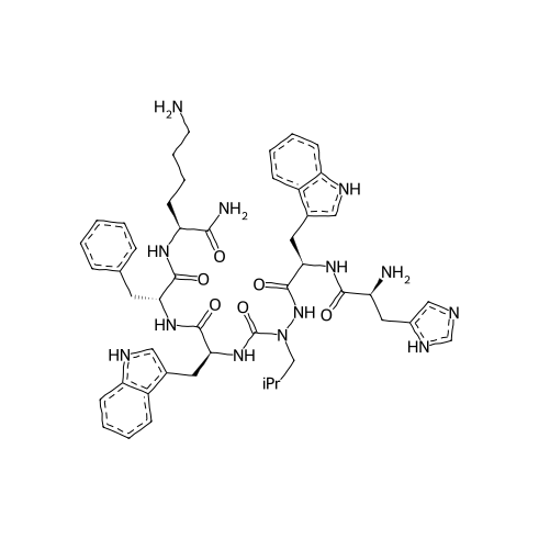 CC(C)CN(NC(=O)[C@@H](Cc1c[nH]c2ccccc12)NC(=O)[C@@H](N)Cc1cnc[nH]1)C(=O)N[C@@H](Cc1c[nH]c2ccccc12)C(=O)N[C@H](Cc1ccccc1)C(=O)N[C@@H](CCCCN)C(N)=O